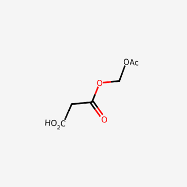 CC(=O)OCOC(=O)CC(=O)O